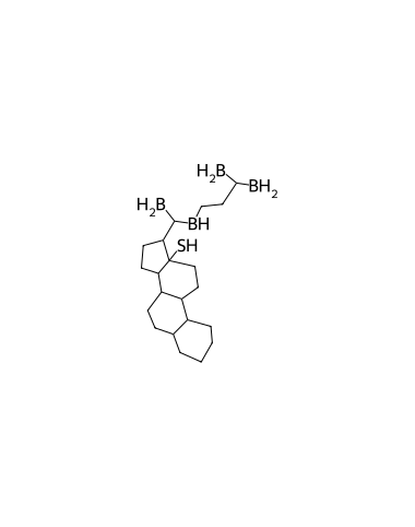 BC(B)CCBC(B)C1CCC2C3CCC4CCCCC4C3CCC12S